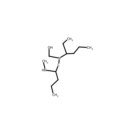 CCCC(CN(CO)C(CC)CCC)NC